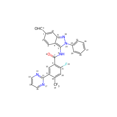 O=Cc1ccc2c(NC(=O)c3cc(-c4ncccn4)c(C(F)(F)F)cc3F)n(-c3ccccc3)nc2c1